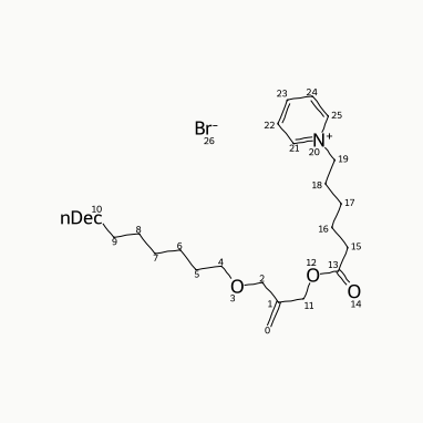 C=C(COCCCCCCCCCCCCCCCC)COC(=O)CCCCC[n+]1ccccc1.[Br-]